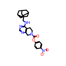 O=C(Oc1ccc([N+](=O)[O-])cc1)N1CCc2c(ncnc2NCC23CC4CC(CC(C4)C2)C3)C1